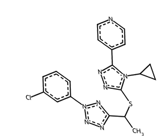 CC(Sc1nnc(-c2ccncc2)n1C1CC1)c1nnn(-c2cccc(Cl)c2)n1